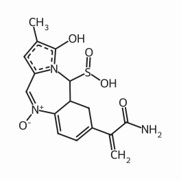 C=C(C(N)=O)C1=CC=C2C(C1)C(S(=O)O)n1c(cc(C)c1O)C=[N+]2[O-]